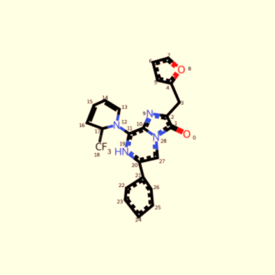 O=c1c(Cc2ccco2)nc2c(N3C=CC=CC3C(F)(F)F)[nH]c(-c3ccccc3)cn1-2